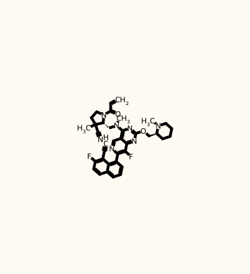 C#Cc1c(F)ccc2cccc(-c3ncc4c(N(C)C[C@H]5N(C(=O)C=C)CCC5(C)C#N)nc(OC[C@@H]5CCCCN5C)nc4c3F)c12